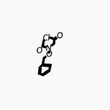 CC(=O)N(CC(=O)Cl)OCc1ccccc1